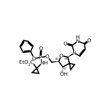 CCOC(=O)C1(NP(=O)(OC[C@H]2O[C@@H](n3ccc(=O)[nH]c3=O)C3(CC3)[C@@H]2O)Oc2ccccc2)CC1